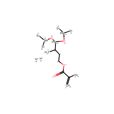 C=C(C)C(=O)OCCC(C)[SiH](O[SiH](CC)CC)O[SiH](CC)CC.[H+].[H+]